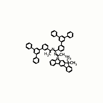 C=C(/N=C(\N=C(/C)n1c2ccccc2c2cc3c(cc21)C(C)(C)c1ccccc1-3)c1cccc(-c2cc(-c3ccccc3)cc(-c3ccccc3)c2)c1)c1cccc(-c2cc(-c3ccccc3)cc(-c3ccccc3)c2)c1